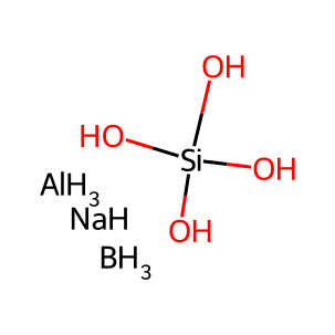 B.O[Si](O)(O)O.[AlH3].[NaH]